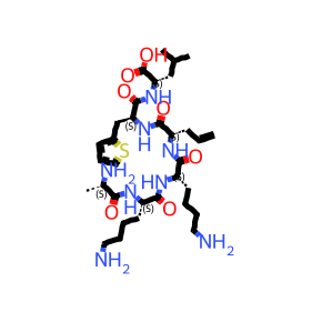 C=CC[C@H](NC(=O)[C@H](CCCCN)NC(=O)[C@H](CCCCN)NC(=O)[C@H](C)N)C(=O)N[C@@H](Cc1cccs1)C(=O)N[C@@H](CC(C)C)C(=O)O